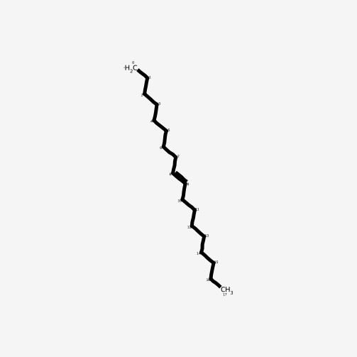 [CH2]CCCCCCCC=CC[CH]CCCCCC